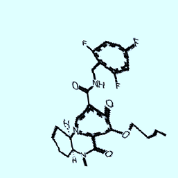 CCCCOc1c2n(cc(C(=O)NCc3c(F)cc(F)cc3F)c1=O)[C@@H]1CCCC[C@@H]1N(C)C2=O